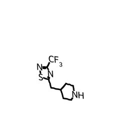 FC(F)(F)c1nsc(CC2CCNCC2)n1